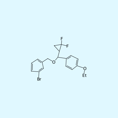 CCOc1ccc(C(OCc2cccc(Br)c2)C2CC2(F)F)cc1